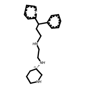 c1ccc(C(CCNCCN[C@H]2CCCNC2)c2ccccc2)cc1